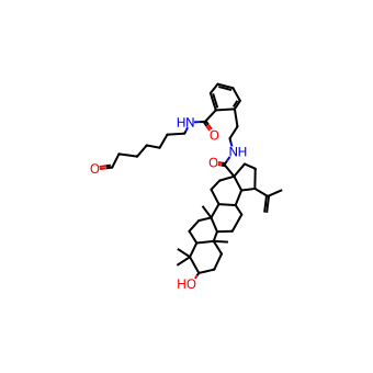 C=C(C)C1CCC2(C(=O)NCCc3ccccc3C(=O)NCCCCCCC=O)CCC3C(CCC4C3(C)CCC3C(C)(C)C(O)CCC34C)C12